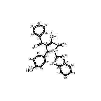 O=C(C1=C(O)C(=O)N(c2nc3ccccc3s2)C1c1ccc(O)cc1)c1ccccc1